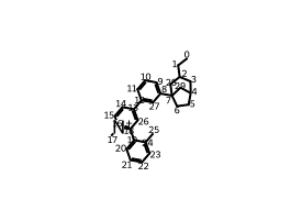 CCC1CC2CCC(c3cccc(-c4cc[n+](C)c(-c5ccccc5C)c4)c3)(C1)C2